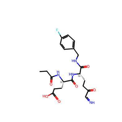 CCC(=O)N[C@@H](CCC(=O)O)C(=O)N[C@@H](CCC(=O)C=N)C(=O)NCc1ccc(F)cc1